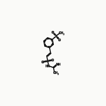 CC(=N)NS(=O)(=O)C=Cc1cccc(S(C)(=O)=O)c1